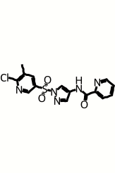 Cc1cc(S(=O)(=O)n2cc(NC(=O)c3ccccn3)cn2)cnc1Cl